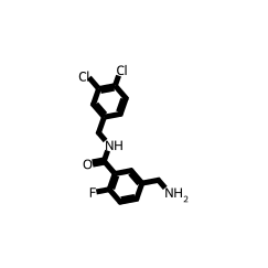 NCc1ccc(F)c(C(=O)NCc2ccc(Cl)c(Cl)c2)c1